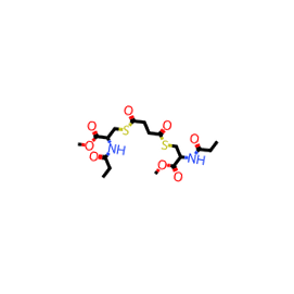 CCC(=O)NC(CSC(=O)CCC(=O)SCC(NC(=O)CC)C(=O)OC)C(=O)OC